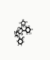 Cc1ccccc1-n1cnnc1SC(C(=O)N1CCCC1)c1ccccc1